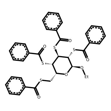 CCO[C@H]1O[C@H](CSC(=O)c2ccccc2)[C@H](SC(=O)c2ccccc2)[C@@H](SC(=O)c2ccccc2)[C@@H]1SC(=O)c1ccccc1